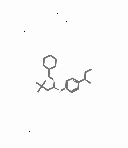 CCC(C)c1ccc(OC(CC(C)(C)C)OCC2CCCCC2)cc1